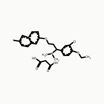 CCOc1ccc(C(CCOc2ccc3cc(I)ccc3c2)N(C)C)cc1Cl.O=C(O)CC(=O)O